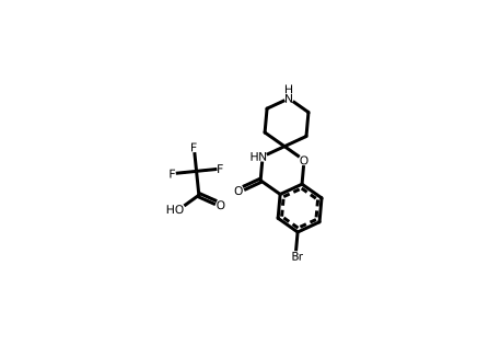 O=C(O)C(F)(F)F.O=C1NC2(CCNCC2)Oc2ccc(Br)cc21